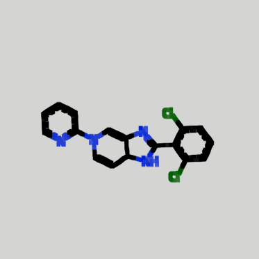 Clc1cccc(Cl)c1C1=NC2=CN(c3ccccn3)C=CC2N1